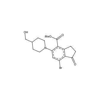 COC(=O)c1c(N2CCC(CO)CC2)cc(Br)c2c1CCC2=O